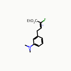 CCOC(=O)/C(F)=C\Cc1cccc(N(C)C)c1